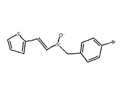 [O-][S+](/C=C/c1cccs1)Cc1ccc(Br)cc1